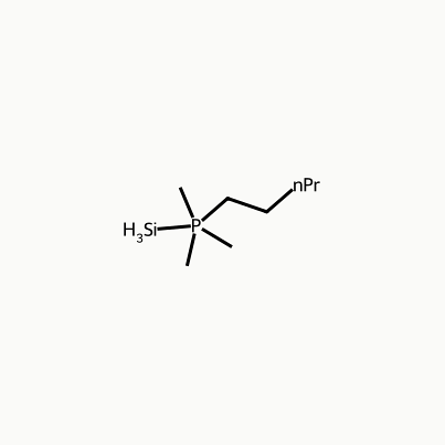 CCCCCP(C)(C)(C)[SiH3]